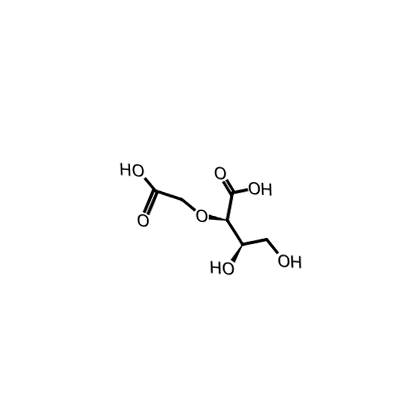 O=C(O)CO[C@@H](C(=O)O)[C@H](O)CO